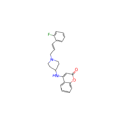 O=c1cc(NC2CCN(C/C=C/c3ccccc3F)CC2)c2ccccc2o1